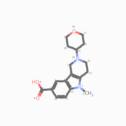 Cn1c2c(c3cc(C(=O)O)ccc31)CN(C1CCOCC1)CC2